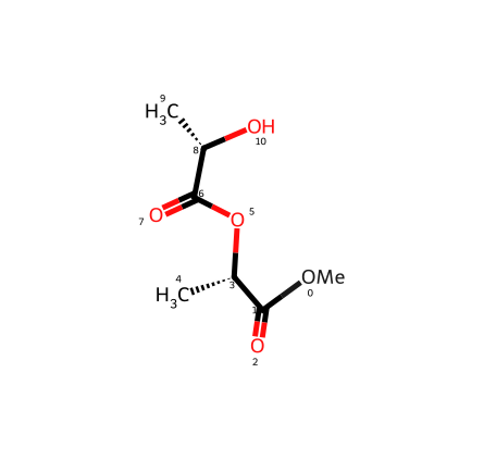 COC(=O)[C@H](C)OC(=O)[C@H](C)O